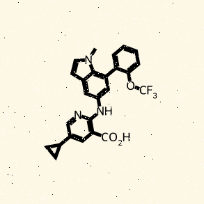 Cn1ccc2cc(Nc3ncc(C4CC4)cc3C(=O)O)cc(-c3ccccc3OC(F)(F)F)c21